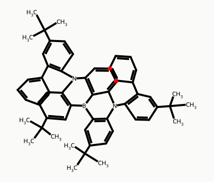 CC(C)(C)c1ccc2c(c1)B1c3cc(C(C)(C)C)ccc3N(c3ccc(C(C)(C)C)cc3-c3ccccc3)c3cccc(c31)N2c1ccc(C(C)(C)C)cc1-c1ccccc1